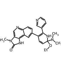 CCOC1(N(C)C)C=CC(c2ccc3ncc4c([nH]c(=O)n4C)c3c2)=C(c2cccnc2)N1